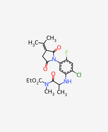 CCOC(=O)N(C)C(=O)C(C)Nc1cc(N2C(=O)CC(=C(C)C)C2=O)c(F)cc1Cl